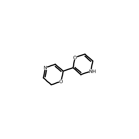 [C]1=C(C2=CN=CCO2)OC=CN1